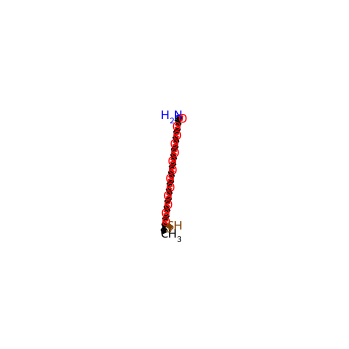 CCC(COCCOCCOCCOCCOCCOCCOCCOCCOCCOCCOCCOCCC(N)=O)SS